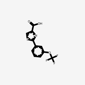 O=C(O)c1csc(-c2cccc(OC(F)(F)F)c2)n1